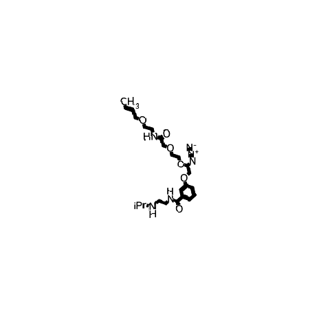 C/C=C/COCCNC(=O)COCCOC(COc1cccc(C(=O)NCCNC(C)C)c1)N=[N+]=[N-]